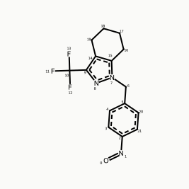 O=Nc1ccc(Cn2nc(C(F)(F)F)c3c2CCCC3)cc1